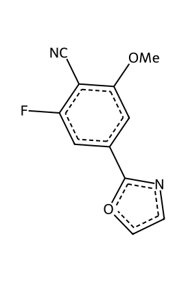 COc1cc(-c2ncco2)cc(F)c1C#N